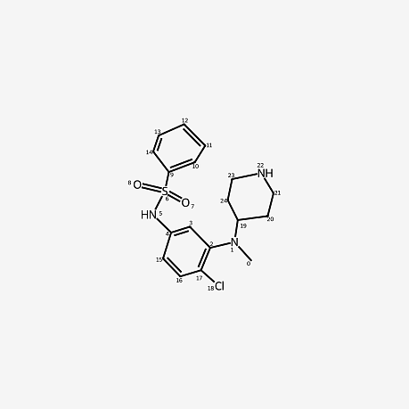 CN(c1cc(NS(=O)(=O)c2ccccc2)ccc1Cl)C1CCNCC1